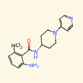 Nc1cccc([N+](=O)[O-])c1C(=O)NC1CCN(c2ccncc2)CC1